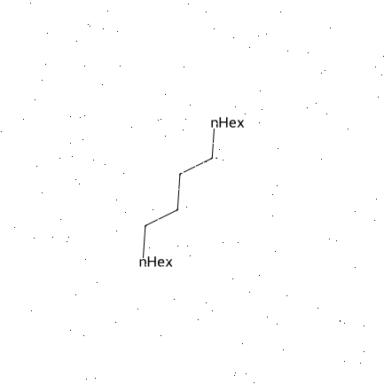 CCCCCC[CH]CCCCCCCCC